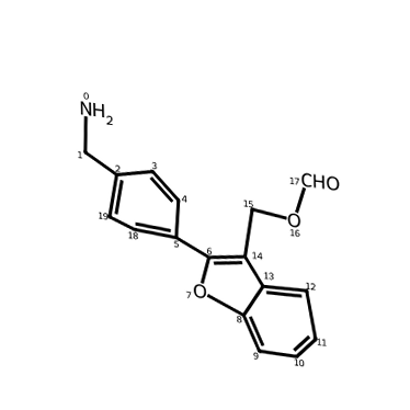 NCc1ccc(-c2oc3ccccc3c2COC=O)cc1